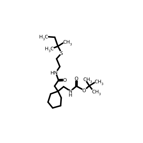 CCC(C)(C)SCCNC(=O)CC1(CNC(=O)OC(C)(C)C)CCCCC1